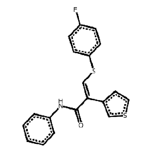 O=C(Nc1ccccc1)C(=CSc1ccc(F)cc1)c1ccsc1